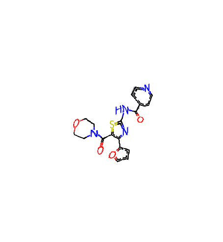 O=C(Nc1nc(-c2ccco2)c(C(=O)N2CCOCC2)s1)c1ccncc1